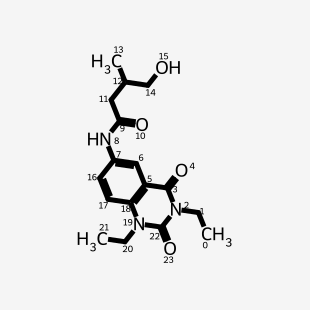 CCn1c(=O)c2cc(NC(=O)CC(C)CO)ccc2n(CC)c1=O